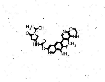 Cc1c(-c2cc3cc(OC(=O)N[C@H]4CC(=O)N(C(C)C)C4)ncc3c(N)c2F)cnc2c1NCCO2